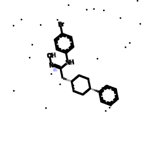 O/N=C(/C[C@H]1CC[C@@H](c2ccccc2)CC1)Nc1ccc(Br)cc1